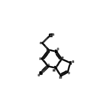 O=c1cc(CCl)nc2sccn12